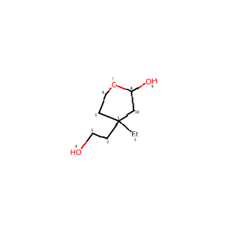 CCC1(CCO)CCOC(O)C1